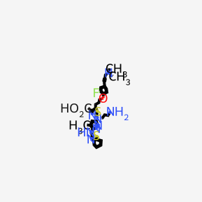 Cc1cc(N(CCCN)c2nc(C(=O)O)c(CCCOc3ccc(C#CCN(C)C)cc3F)s2)nnc1Nc1nc2ccccc2s1